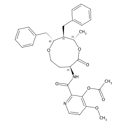 COc1ccnc(C(=O)N[C@H]2CCO[C@H](Cc3ccccc3)[C@@H](Cc3ccccc3)[C@H](C)OC2=O)c1OC(C)=O